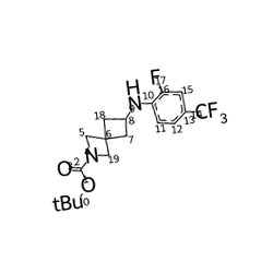 CC(C)(C)OC(=O)N1CC2(CC(Nc3ccc(C(F)(F)F)cc3F)C2)C1